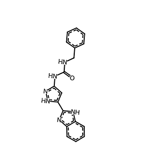 O=C(NCc1ccccc1)Nc1cc(-c2nc3ccccc3[nH]2)[nH]n1